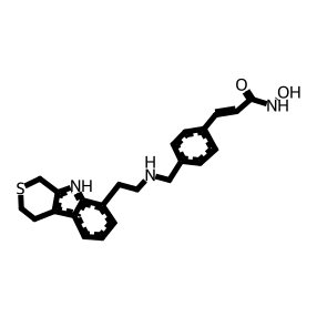 O=C(/C=C/c1ccc(CNCCc2cccc3c4c([nH]c23)CSCC4)cc1)NO